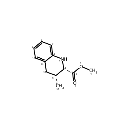 COC(=O)[C@H]1Nc2ccccc2C[C@H]1C